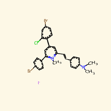 CN(C)c1ccc(/C=C/c2cc(-c3ccc(Br)cc3Cl)cc(-c3ccc(Br)cc3)[n+]2C)cc1.[I-]